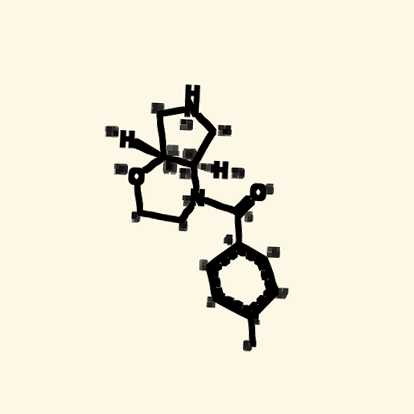 Cc1ccc(C(=O)N2CCO[C@@H]3CNC[C@H]32)cc1